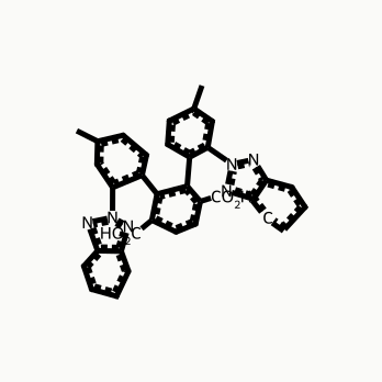 Cc1ccc(-c2c(C(=O)O)ccc(C(=O)O)c2-c2ccc(C)cc2-n2nc3ccccc3n2)c(-n2nc3ccccc3n2)c1